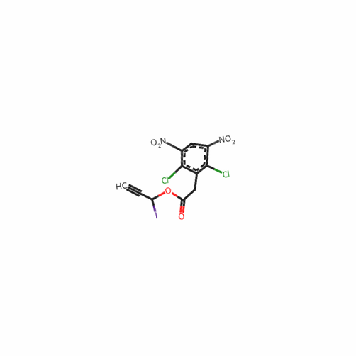 C#CC(I)OC(=O)Cc1c(Cl)c([N+](=O)[O-])cc([N+](=O)[O-])c1Cl